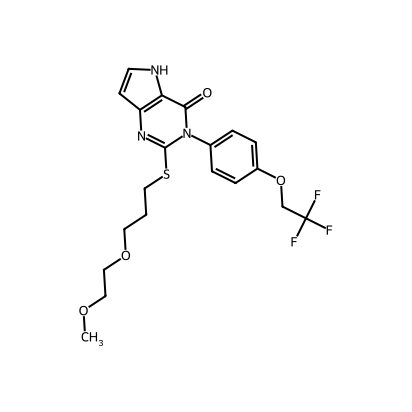 COCCOCCCSc1nc2cc[nH]c2c(=O)n1-c1ccc(OCC(F)(F)F)cc1